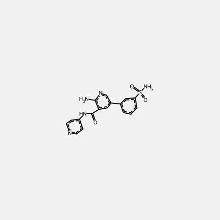 Nc1ncc(-c2cccc(S(N)(=O)=O)c2)cc1C(=O)Nc1ccncc1